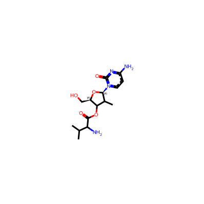 CC(C)C(N)C(=O)OC1C(C)[C@H](n2ccc(N)nc2=O)O[C@@H]1CO